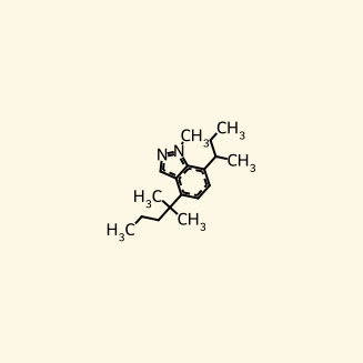 CCCC(C)(C)c1ccc(C(C)CC)c2c1cnn2C